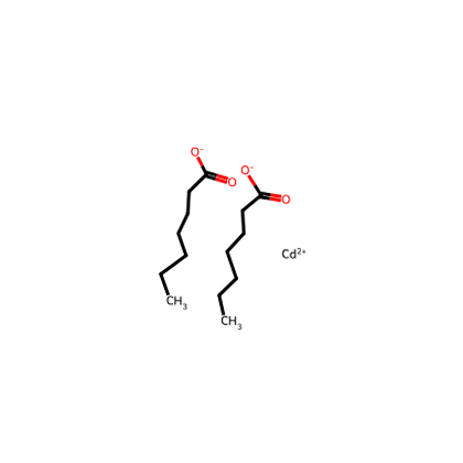 CCCCCCC(=O)[O-].CCCCCCC(=O)[O-].[Cd+2]